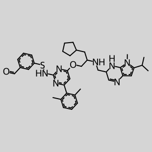 Cc1cccc(C)c1-c1cc(OCC(CC2CCCC2)NCC2C=Nc3cc(C(C)C)n(C)c3N2)nc(NSc2cccc(C=O)c2)n1